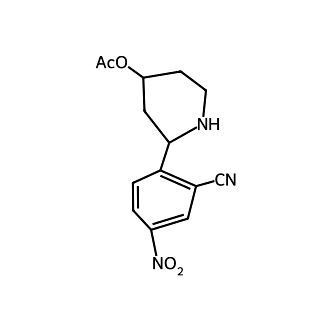 CC(=O)OC1CCNC(c2ccc([N+](=O)[O-])cc2C#N)C1